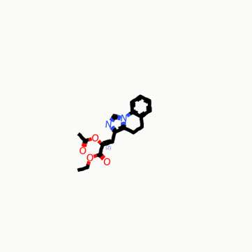 CCOC(=O)/C(=C/c1ncn2c1CCc1ccccc1-2)OC(C)=O